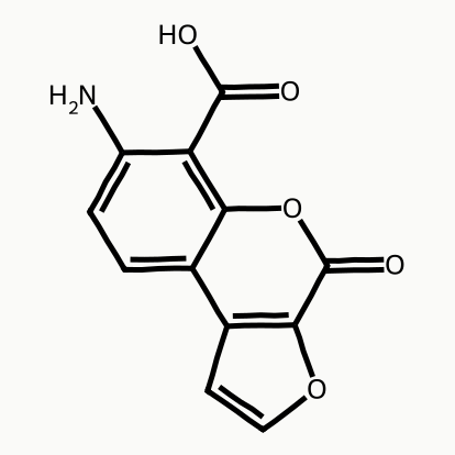 Nc1ccc2c(oc(=O)c3occc32)c1C(=O)O